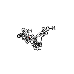 CC[C@@H](C)[C@@H]([C@@H](CC(=O)N1CCC[C@H]1[C@H](OC)[C@@H](C)C(=O)N[C@@H](Cc1ccccc1)C(=O)O)OC)N(C)C(=O)[C@@H](NC(=O)C(C(C)C)N(C)C(=O)CCCCCN1C(=O)C=C(Oc2ccc(C#N)cc2)C1=O)C(C)C